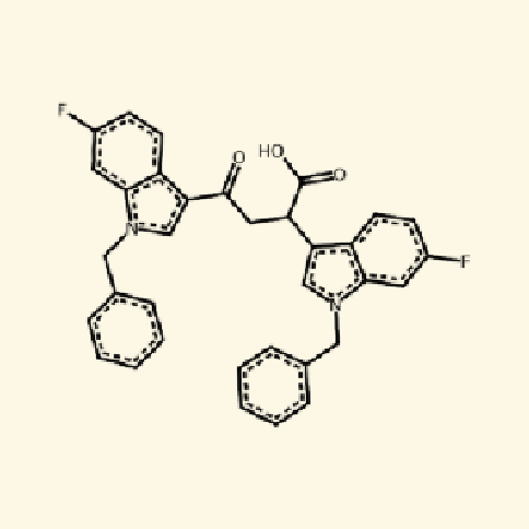 O=C(CC(C(=O)O)c1cn(Cc2ccccc2)c2cc(F)ccc12)c1cn(Cc2ccccc2)c2cc(F)ccc12